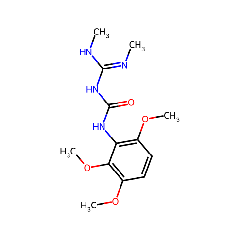 CN=C(NC)NC(=O)Nc1c(OC)ccc(OC)c1OC